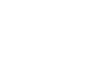 Cc1ccc2occ(/C=C3/SC(=S)N(C(CC(=O)O)C(=O)O)C3=O)c(=O)c2c1